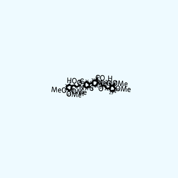 COc1ccc(C=CC(=O)Nc2cc3sc4cc(NC(=O)C=Cc5ccc(OC)c(OC)c5OC)c(C(=O)O)cc4c3cc2C(=O)O)c(OC)c1OC